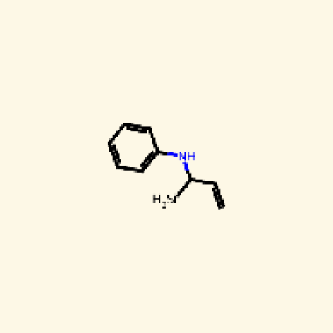 C=CC([SiH3])Nc1ccccc1